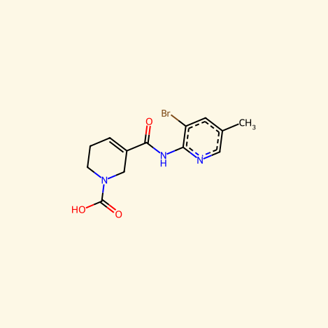 Cc1cnc(NC(=O)C2=CCCN(C(=O)O)C2)c(Br)c1